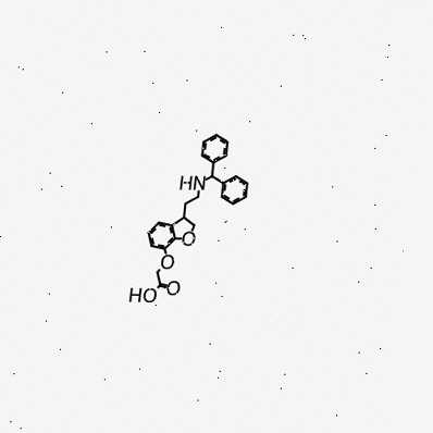 O=C(O)COc1cccc2c1OCC2CCNC(c1ccccc1)c1ccccc1